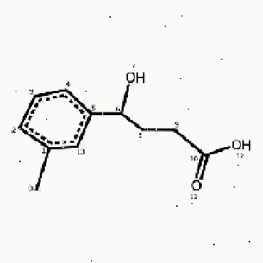 [CH2]c1cccc(C(O)CCC(=O)O)c1